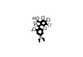 CCN(CC)c1ccc(C(=O)c2c(Cl)c(Cl)c(Cl)c(Cl)c2C(=O)O)c(OC)c1